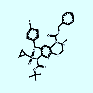 C[C@H]1COc2nc(N(C(=O)OC(C)(C)C)S(=O)(=O)C3CC3)c(Cc3ccc(F)cc3)cc2N1C(=O)OCc1ccccc1